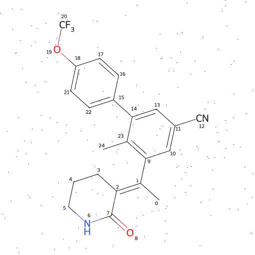 C/C(=C1/CCCNC1=O)c1cc(C#N)cc(-c2ccc(OC(F)(F)F)cc2)c1C